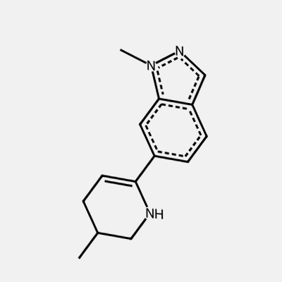 CC1CC=C(c2ccc3cnn(C)c3c2)NC1